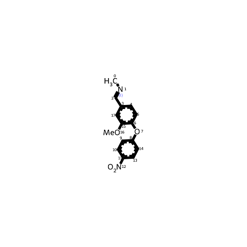 C/N=C/c1ccc(Oc2ccc([N+](=O)[O-])cc2)c(OC)c1